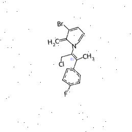 C=C1C(Br)=CC=CN1/C(CCl)=C(\C)c1ccc(F)cc1